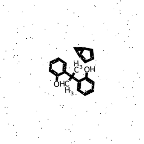 CC(C)(c1ccccc1O)c1ccccc1O.c1cc2cc-2c1